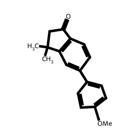 COc1ccc(-c2ccc3c(c2)C(C)(C)CC3=O)cc1